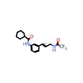 O=C(Nc1cccc(/C=C/CNC(=O)C(F)(F)F)c1)C1CCCCC1